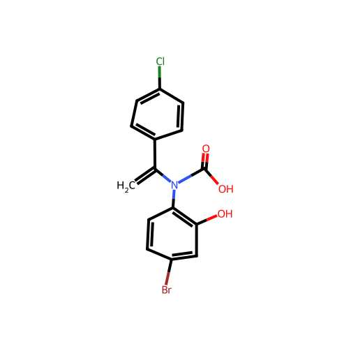 C=C(c1ccc(Cl)cc1)N(C(=O)O)c1ccc(Br)cc1O